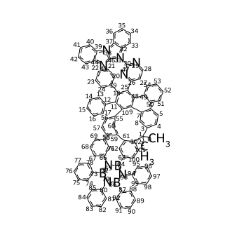 CC1(C)c2cccc(c2)-c2c(c(-c3ccccc3)c(-c3ccccc3)c(-c3ccnc(-n4c5ccccc5n5c6ccccc6nc45)n3)c2-c2ccccc2)-c2cccc(c2)-c2cc(B3N(c4ccccc4)B(c4ccccc4)N(c4ccccc4)B(c4ccccc4)N3c3ccccc3)ccc21